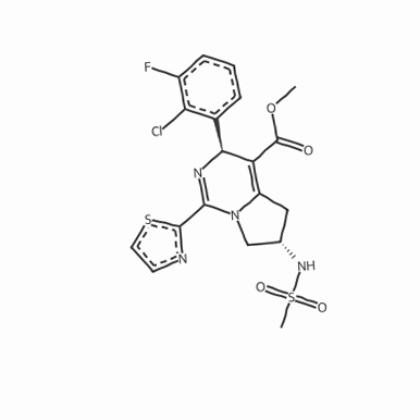 COC(=O)C1=C2C[C@H](NS(C)(=O)=O)CN2C(c2nccs2)=N[C@H]1c1cccc(F)c1Cl